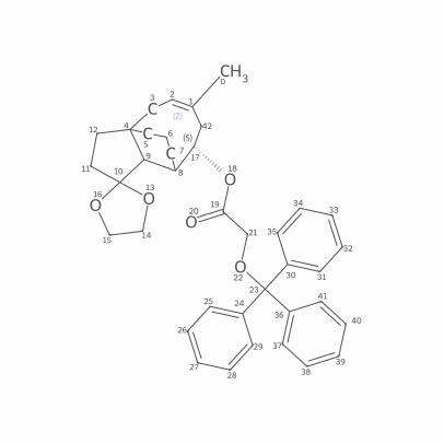 C/C1=C/CC23CCCC(C2C2(CC3)OCCO2)[C@@H](OC(=O)COC(c2ccccc2)(c2ccccc2)c2ccccc2)C1